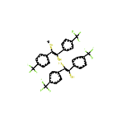 FC(F)(F)c1ccc(C(S)=C(S)c2ccc(C(F)(F)F)cc2)cc1.FC(F)(F)c1ccc(C(S)=C(S)c2ccc(C(F)(F)F)cc2)cc1.[Ni]